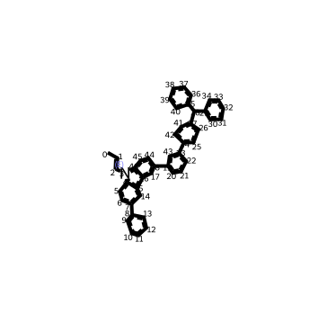 C/C=C/n1c2ccc(-c3ccccc3)cc2c2cc(-c3cccc(-c4ccc(C(c5ccccc5)c5ccccc5)cc4)c3)ccc21